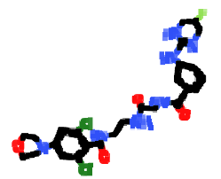 O=C(CNC(=O)c1cccc(NC2=NCC(F)CN2)c1)NCCNC(=O)c1c(Cl)cc(N2CCOCC2)cc1Cl